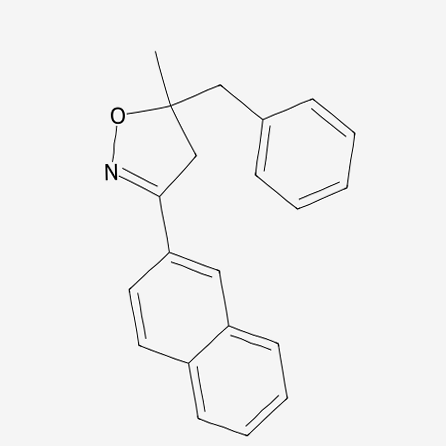 CC1(Cc2ccccc2)CC(c2ccc3ccccc3c2)=NO1